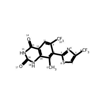 Cc1c(-c2nc(C(F)(F)F)cs2)c(C(F)(F)F)cc2c(=O)[nH]c(=O)[nH]c12